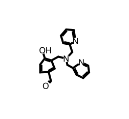 O=Cc1ccc(O)c(CN(Cc2ccccn2)Cc2ccccn2)c1